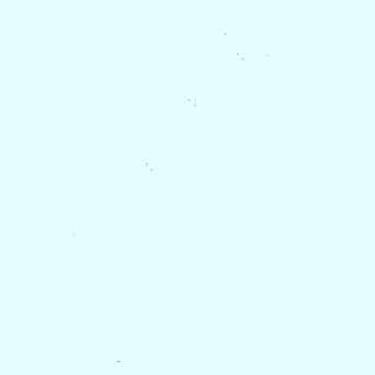 O=C(CN1CCC(O)C1)NCc1cnc(Oc2ccc3c(c2)CCC(c2ccccc2)O3)s1